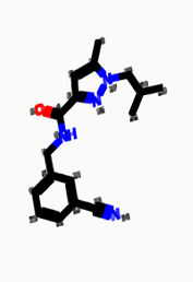 Cc1[c]c(C(=O)NCc2cccc(C#N)c2)nn1CC(C)C